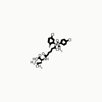 CC(C)C[C@H](NC(=O)CCCCC(C)N(c1cc(Cl)ccc1F)S(=O)(=O)c1ccc(Cl)cc1)C(=O)O